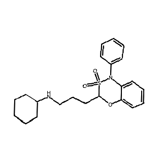 O=S1(=O)C(CCCNC2CCCCC2)Oc2ccccc2N1c1ccccc1